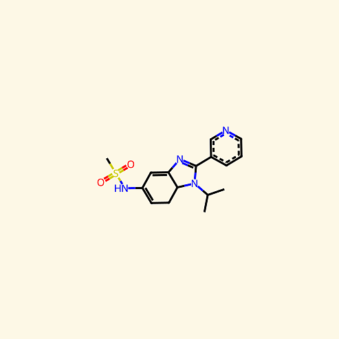 CC(C)N1C(c2cccnc2)=NC2=CC(NS(C)(=O)=O)=CCC21